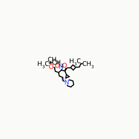 CC(C)CC1CC(c2onc(C(C/C=C/N3CCCCC3)CC(=O)OC(C)(C)C)c2C2CC2)C1